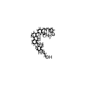 COc1nc(-c2ccnc(-c3cccc(Nc4nccc(CNCCO)c4F)c3Cl)c2Cl)ccc1CNC[C@H]1CCC(=O)N1